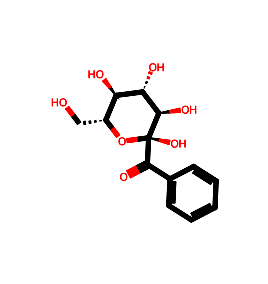 O=C(c1ccccc1)[C@]1(O)O[C@H](CO)[C@@H](O)[C@H](O)[C@H]1O